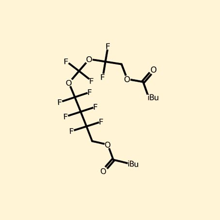 CCC(C)C(=O)OCC(F)(F)OC(F)(F)OC(F)(F)C(F)(F)C(F)(F)COC(=O)C(C)CC